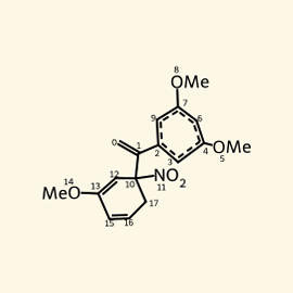 C=C(c1cc(OC)cc(OC)c1)C1([N+](=O)[O-])C=C(OC)C=CC1